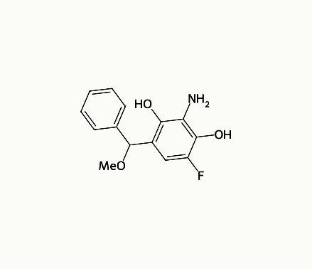 COC(c1ccccc1)c1cc(F)c(O)c(N)c1O